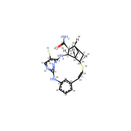 NC(=O)[C@H]1[C@H]2C[C@H]3[C@H]1Nc1nc(ncc1F)Nc1cccc(c1)/C=C\S[C@@H]3C2